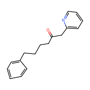 O=C(CCCCc1ccccc1)Cc1ccccn1